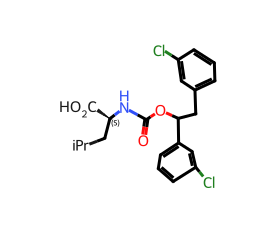 CC(C)C[C@H](NC(=O)OC(Cc1cccc(Cl)c1)c1cccc(Cl)c1)C(=O)O